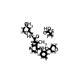 Cc1c(C(=O)NCC2CN(C)CCO2)sc2ncnc(Nc3ccc(F)cc3OC3CCOCC3)c12.O=C(O)C(F)(F)F